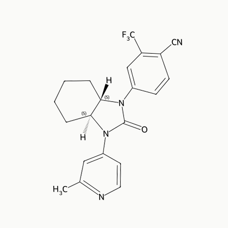 Cc1cc(N2C(=O)N(c3ccc(C#N)c(C(F)(F)F)c3)[C@H]3CCCC[C@@H]32)ccn1